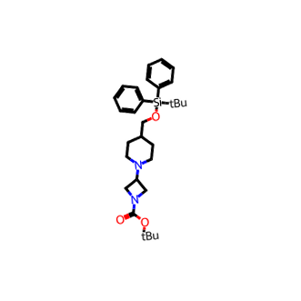 CC(C)(C)OC(=O)N1CC(N2CCC(CO[Si](c3ccccc3)(c3ccccc3)C(C)(C)C)CC2)C1